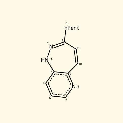 CCCCCC1=NNc2cccnc2C=C1